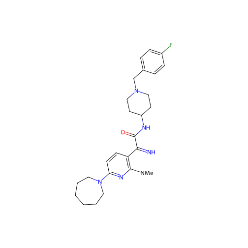 CNc1nc(N2CCCCCC2)ccc1C(=N)C(=O)NC1CCN(Cc2ccc(F)cc2)CC1